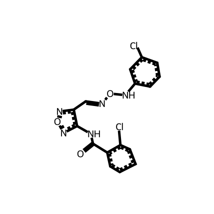 O=C(Nc1nonc1/C=N/ONc1cccc(Cl)c1)c1ccccc1Cl